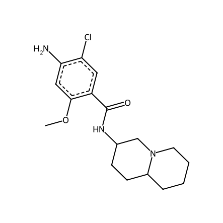 COc1cc(N)c(Cl)cc1C(=O)NC1CCC2CCCCN2C1